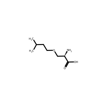 CC(C)CCOC[C@@H](N)C(=O)O